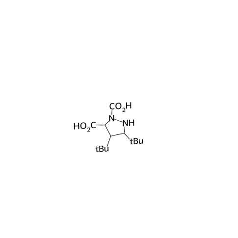 CC(C)(C)C1NN(C(=O)O)C(C(=O)O)C1C(C)(C)C